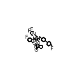 O=c1nc(SCc2ccc(F)cc2)n(Cc2nnc(CN3CCC(F)(F)C3)n2Cc2ccc(-c3ccc(CF)cc3)cc2)c2c1CCC2